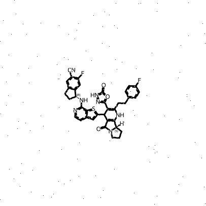 N#Cc1cc2c(cc1F)[C@H](Nc1nccc3cc(C4C5=C(NC(CCc6ccc(F)cc6)=C4c4n[nH]c(=O)o4)[C@@H]4CCCN4C5=O)sc13)CC2